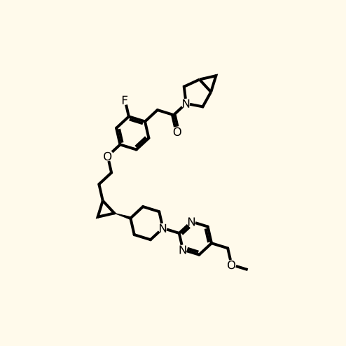 COCc1cnc(N2CCC([C@H]3CC3CCOc3ccc(CC(=O)N4CC5CC5C4)c(F)c3)CC2)nc1